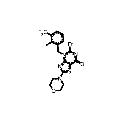 CCc1nc(=O)c2sc(N3CCOCC3)nc2n1Cc1cccc(C(F)(F)F)c1C